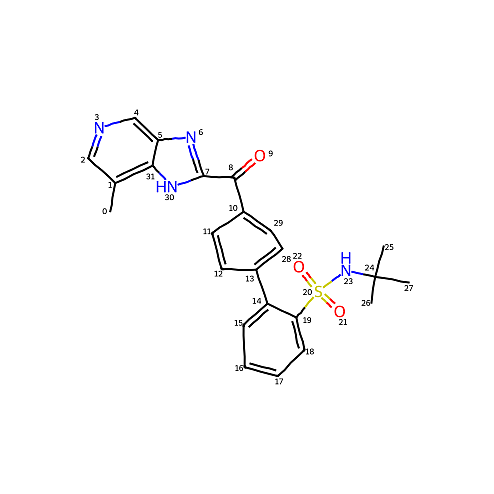 Cc1cncc2nc(C(=O)c3ccc(-c4ccccc4S(=O)(=O)NC(C)(C)C)cc3)[nH]c12